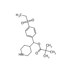 CCS(=O)(=O)c1ccc(C(OC(=O)C(C)(C)C)C2CCNCC2)cc1